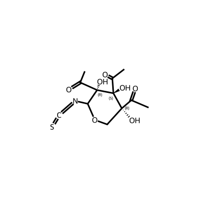 CC(=O)[C@]1(O)[C@@](O)(C(C)=O)COC(N=C=S)[C@@]1(O)C(C)=O